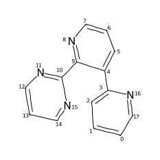 c1ccc(-c2cccnc2-c2ncccn2)nc1